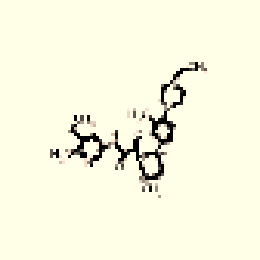 CCc1cc(NC(=O)C(=O)N2C[C@@H](C)CC[C@@H]2c2ccc(N3CCN(CC)CC3)c(C)c2)cnc1N